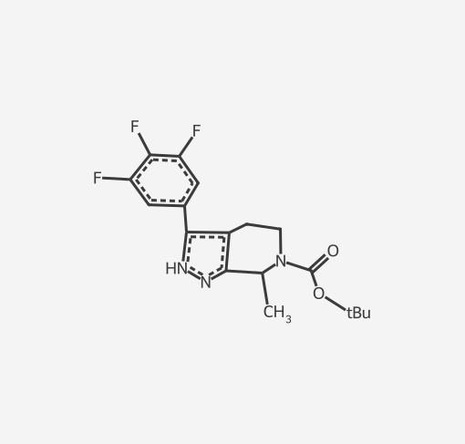 CC1c2n[nH]c(-c3cc(F)c(F)c(F)c3)c2CCN1C(=O)OC(C)(C)C